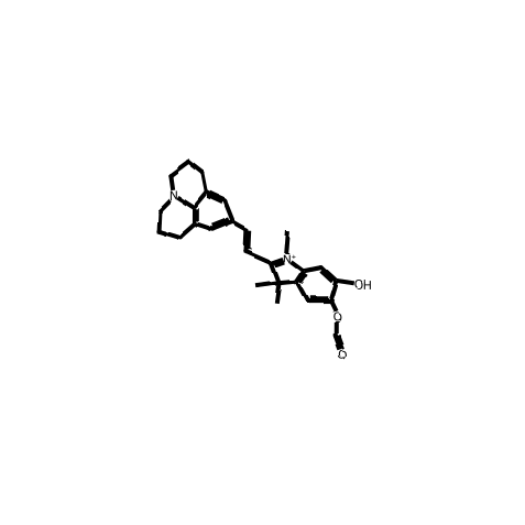 C[N+]1=C(/C=C/c2cc3c4c(c2)CCCN4CCC3)C(C)(C)c2cc(OC=O)c(O)cc21